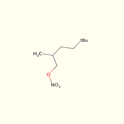 CC(CCC(C)(C)C)CO[N+](=O)[O-]